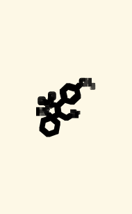 Cc1ccc(C2=C(CBr)C3(CCCCC3)NS2(=O)=O)cc1